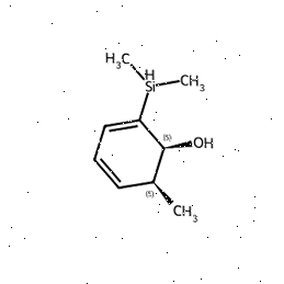 C[C@H]1C=CC=C([SiH](C)C)[C@H]1O